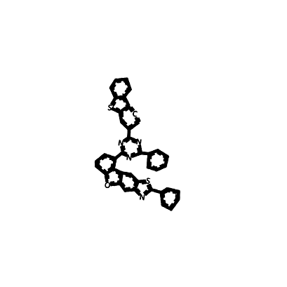 c1ccc(-c2nc(-c3ccc4c(c3)sc3ccccc34)nc(-c3cccc4oc5cc6nc(-c7ccccc7)sc6cc5c34)n2)cc1